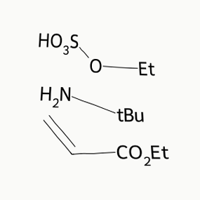 C=CC(=O)OCC.CC(C)(C)N.CCOS(=O)(=O)O